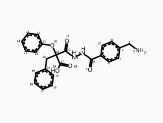 NCc1ccc(C(=O)NNC(=O)C(Cc2ccccc2)(Oc2ccccc2)C(=O)O)cc1